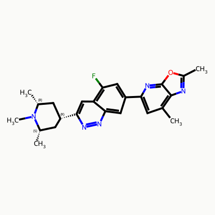 Cc1nc2c(C)cc(-c3cc(F)c4cc([C@H]5C[C@@H](C)N(C)[C@@H](C)C5)nnc4c3)nc2o1